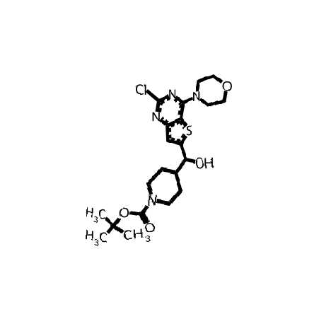 CC(C)(C)OC(=O)N1CCC(C(O)c2cc3nc(Cl)nc(N4CCOCC4)c3s2)CC1